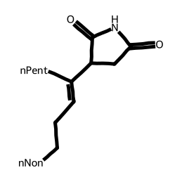 CCCCCCCCCCCC=C(CCCCC)C1CC(=O)NC1=O